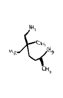 C[C](C)CC(C)(C)CN